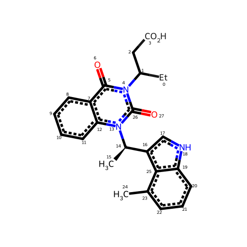 CCC(CC(=O)O)n1c(=O)c2ccccc2n([C@H](C)c2c[nH]c3cccc(C)c23)c1=O